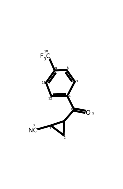 N#CC1CC1C(=O)c1ccc(C(F)(F)F)cc1